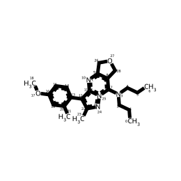 CCCN(CCC)c1c2c(nc3c(-c4ccc(OC)cc4C)c(C)nn13)COC2